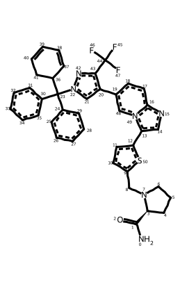 NC(=O)[C@@H]1CCCN1Cc1ccc(-c2cnc3ccc(-c4cn(C(c5ccccc5)(c5ccccc5)C5C=CC=CC5)nc4C(F)(F)F)cn23)s1